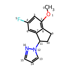 COc1cc(F)cc2c1CCC2n1cccn1